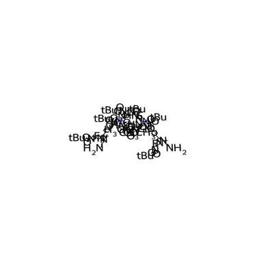 CC(C)(C)OC(=O)Nc1nc(/C(=N/O[C@@H](COc2ccc(-c3cn(CCCN)[n+](CC4(F)CN(C(=O)OC(C)(C)C)C4)c3)cc2)C(=O)OC(C)(C)C)C(=O)N[C@@H]2C(=O)N(OS(=O)(=O)ON3C(=O)[C@@H](NC(=O)/C(=N\O[C@@H](COc4ccc(-c5cn(CCCN)[n+](CC6(F)CN(C(=O)OC(C)(C)C)C6)c5)cc4)C(=O)OC(C)(C)C)c4csc(NC(=O)OC(C)(C)C)n4)C3(C)C)C2(C)C)cs1